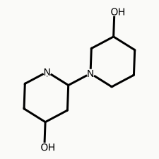 OC1CC[N]C(N2CCCC(O)C2)C1